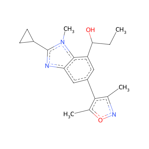 CCC(O)c1cc(-c2c(C)noc2C)cc2nc(C3CC3)n(C)c12